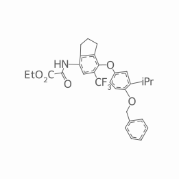 CCOC(=O)C(=O)Nc1cc(C(F)(F)F)c(Oc2ccc(OCc3ccccc3)c(C(C)C)c2)c2c1CCC2